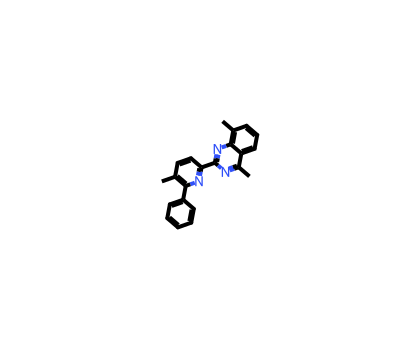 Cc1ccc(-c2nc(C)c3cccc(C)c3n2)nc1-c1ccccc1